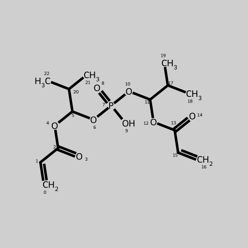 C=CC(=O)OC(OP(=O)(O)OC(OC(=O)C=C)C(C)C)C(C)C